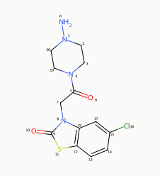 NN1CCN(C(=O)Cn2c(=O)sc3ccc(Cl)cc32)CC1